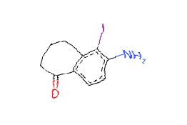 Nc1ccc2c(c1I)CCCC2=O